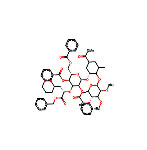 CCCCOC1[C@H](OCCCC)C(C)O[C@@H](OC2[C@H](C)CC(C(=O)OC)C[C@H]2O[C@@H]2O[C@@H](COC(=O)c3ccccc3)[C@H](OC(=O)c3ccccc3)C(O[C@@H](CC3CCCCC3)C(=O)OCc3ccccc3)C2OC(=O)c2ccccc2)[C@H]1OCCCC